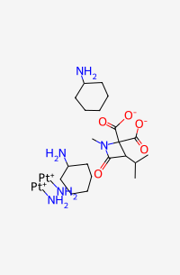 CC(C)C1C(=O)N(C)C1(C(=O)[O-])C(=O)[O-].NC1CCCCC1.NC1CCCCC1.[NH2][Pt+].[NH2][Pt+]